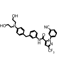 N#Cc1cccc(-n2nc(C(F)(F)F)cc2C(=O)Nc2cccc(Cc3ccc(N(CCO)CCO)cc3)c2)c1